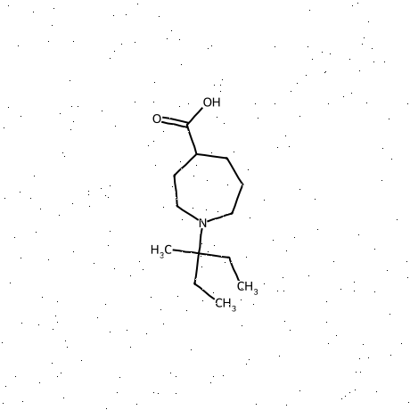 CCC(C)(CC)N1CCCC(C(=O)O)CC1